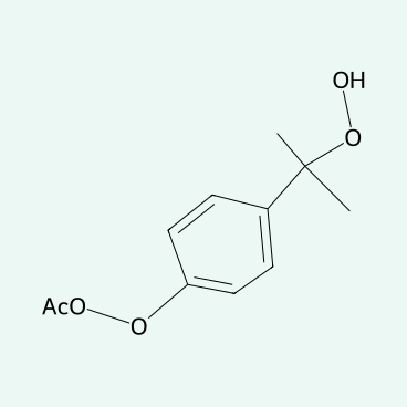 CC(=O)OOc1ccc(C(C)(C)OO)cc1